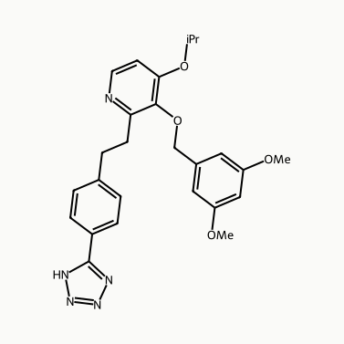 COc1cc(COc2c(OC(C)C)ccnc2CCc2ccc(-c3nnn[nH]3)cc2)cc(OC)c1